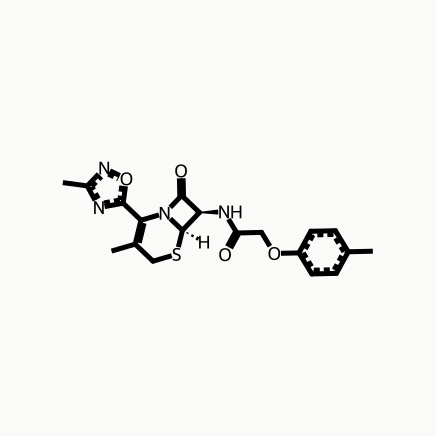 CC1=C(c2nc(C)no2)N2C(=O)[C@@H](NC(=O)COc3ccc(C)cc3)[C@H]2SC1